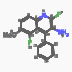 COc1ccc2nc(F)c(N)c(-c3ccccc3)c2c1F